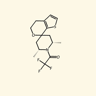 C[C@@H]1CC2(C[C@H](C)N1C(=O)C(F)(F)F)OCCc1ccsc12